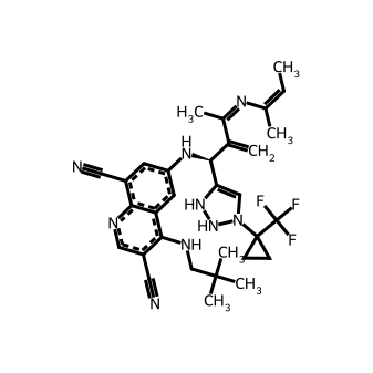 C=C(/C(C)=N\C(C)=C/C)[C@H](Nc1cc(C#N)c2ncc(C#N)c(NCC(C)(C)C)c2c1)C1=CN(C2(C(F)(F)F)CC2)NN1